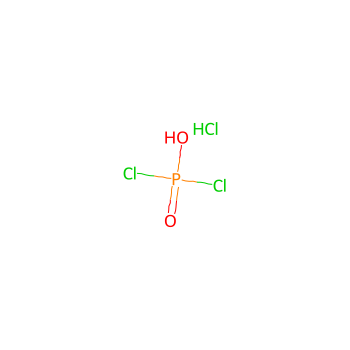 Cl.O=P(O)(Cl)Cl